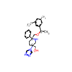 C[C@@H](OC[C@]1(c2ccccc2)CC[C@@](CO)(n2cnnc2)CN1)c1cc(C(F)(F)F)cc(C(F)(F)F)c1